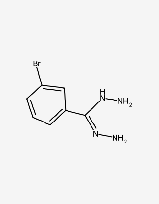 N/N=C(\NN)c1cccc(Br)c1